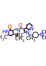 CSc1cc(C)[nH]c(=O)c1CNC(=O)c1c(C)n(C(C)C2CCC(N(C)C)CC2)c2ncccc12